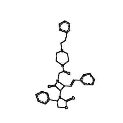 O=C(CN1C(=O)C(N2C(=O)OCC2c2ccccc2)C1/C=C/c1ccccc1)N1CCN(CCc2ccccc2)CC1